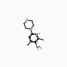 Cc1cc(N2CCOCC2)nc(C)c1N